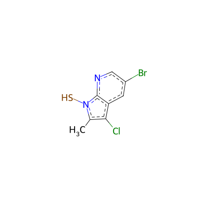 Cc1c(Cl)c2cc(Br)cnc2n1S